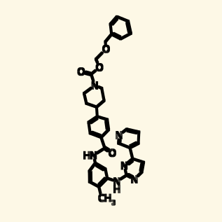 Cc1ccc(NC(=O)c2ccc(C3CCN(C(=O)OCOCc4ccccc4)CC3)cc2)cc1Nc1nccc(-c2cccnc2)n1